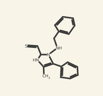 CC1=C(c2ccccc2)N(NCc2ccccc2)C(C=S)N1